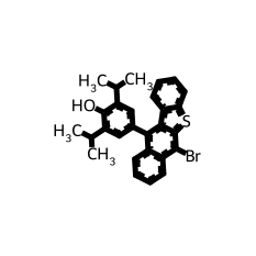 CC(C)c1cc(-c2c3ccccc3c(Br)c3sc4ccccc4c23)cc(C(C)C)c1O